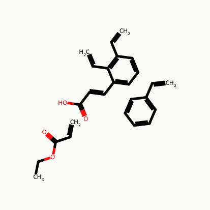 C=CC(=O)OCC.C=Cc1cccc(C=CC(=O)O)c1C=C.C=Cc1ccccc1